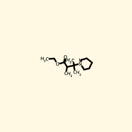 CCOC(=O)C(C)C(C)(C)[SiH]1CCCCC1